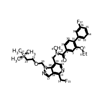 CCOc1cc(C(=O)N(C)Cc2cnc(CF)c3cnn(COCC[Si](C)(C)C)c23)ccc1-c1cccc(F)c1